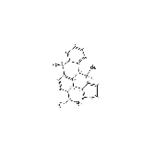 CC(C)B1c2ccccc2[S+]([O-])c2ccc(C(C)C)c(-c3ccccc3)c21